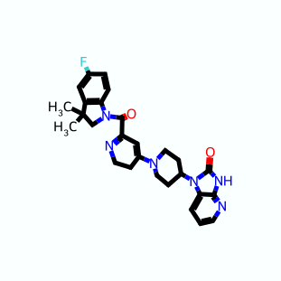 CC1(C)CN(C(=O)C2=NCCC(N3CCC(n4c(=O)[nH]c5ncccc54)CC3)=C2)c2ccc(F)cc21